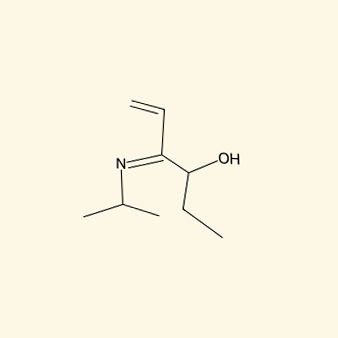 C=CC(=NC(C)C)C(O)CC